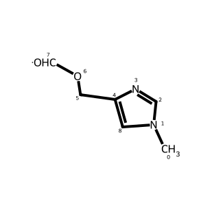 Cn1cnc(CO[C]=O)c1